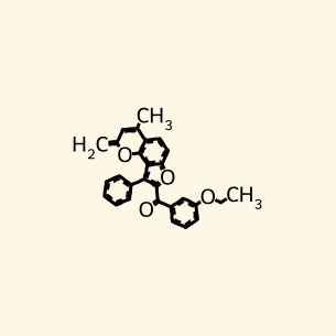 C=C1C=C(C)c2ccc3oc(C(=O)c4cccc(OCC)c4)c(-c4ccccc4)c3c2O1